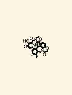 O=C1COc2cccc3c2N1Cc1c(ccc(F)c1F)[C@@H]3N1[C@@H]2COCCN2C(=O)c2c(O)c(=O)ccn21